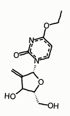 C=C1C(O)[C@@H](CO)O[C@H]1n1ccc(OCC)nc1=O